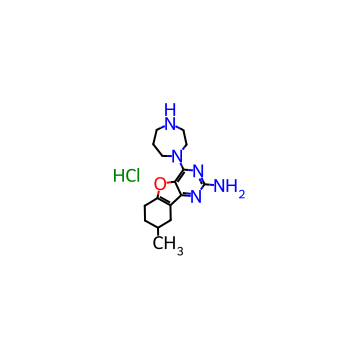 CC1CCc2oc3c(N4CCCNCC4)nc(N)nc3c2C1.Cl